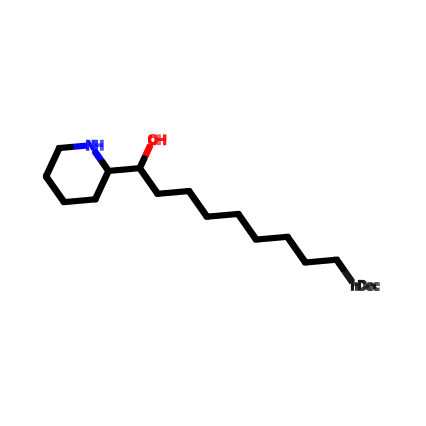 CCCCCCCCCCCCCCCCCCC(O)C1CCCCN1